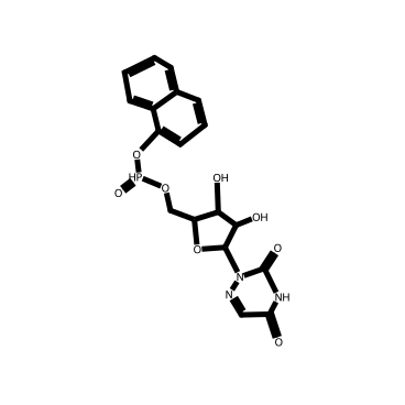 O=c1cnn(C2OC(CO[PH](=O)Oc3cccc4ccccc34)C(O)C2O)c(=O)[nH]1